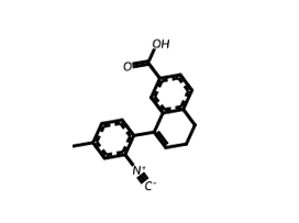 [C-]#[N+]c1cc(C)ccc1C1=CCCc2ccc(C(=O)O)cc21